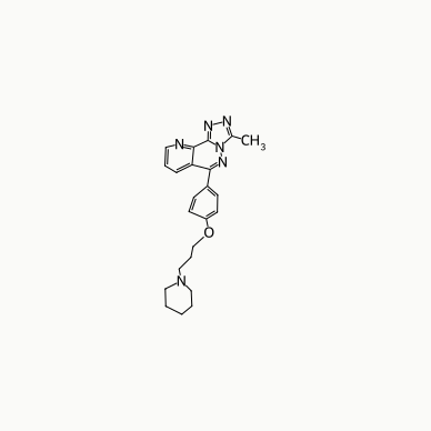 Cc1nnc2c3ncccc3c(-c3ccc(OCCCN4CCCCC4)cc3)nn12